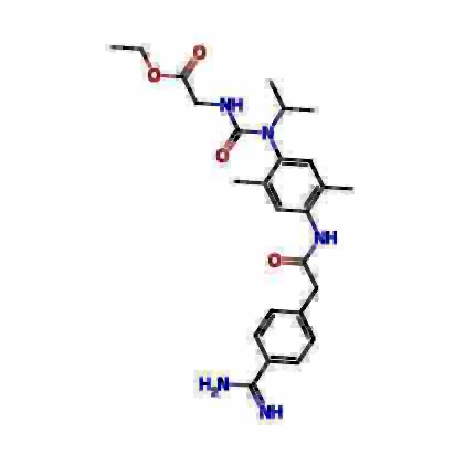 CCOC(=O)CNC(=O)N(c1cc(C)c(NC(=O)Cc2ccc(C(=N)N)cc2)cc1C)C(C)C